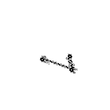 O=C(C(=O)N1CCN(C(=O)c2ccccc2)CC1)c1c[nH]c2c(Br)ccc(OCCOCCOCCOCCOCCOCCNc3c([N+](=O)[O-])cccc3[N+](=O)[O-])c12